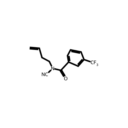 C=CCCN(C#N)C(=O)c1cccc(C(F)(F)F)c1